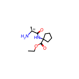 CCOC(=O)C1(NC(=O)[C@H](C)N)CCCC1